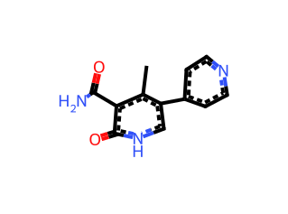 Cc1c(-c2ccncc2)c[nH]c(=O)c1C(N)=O